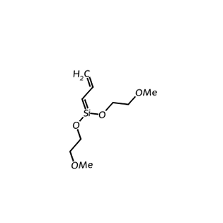 C=CC=[Si](OCCOC)OCCOC